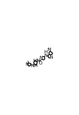 Cc1cc(Nc2ccc(NC(=O)c3ccc(Nc4ccnc5ccc(N(C)C)cc45)cn3)cc2)ccn1